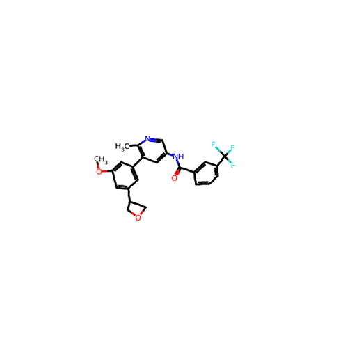 COc1cc(-c2cc(NC(=O)c3cccc(C(F)(F)F)c3)cnc2C)cc(C2COC2)c1